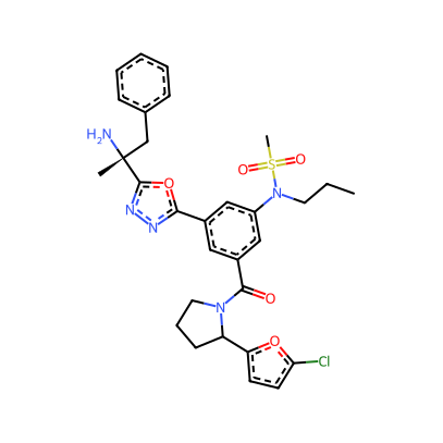 CCCN(c1cc(C(=O)N2CCCC2c2ccc(Cl)o2)cc(-c2nnc([C@](C)(N)Cc3ccccc3)o2)c1)S(C)(=O)=O